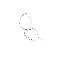 O=C1C=CC2=C(C=CCO2)C1